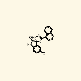 O=C1Nc2ccc(Cl)cc2C12NN=C(c1cccc3ccccc13)S2